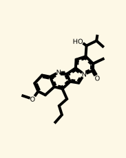 CCCCc1c2c(nc3c1cn1c(=O)c(C)c(C(O)C(C)C)cc31)=CC=C(OC)C2